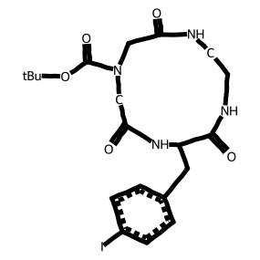 CC(C)(C)OC(=O)N1CC(=O)NCCNC(=O)C(Cc2ccc(I)cc2)NC(=O)C1